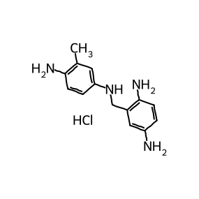 Cc1cc(NCc2cc(N)ccc2N)ccc1N.Cl